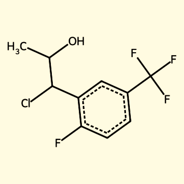 CC(O)C(Cl)c1cc(C(F)(F)F)ccc1F